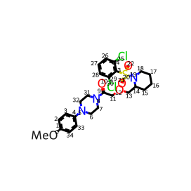 COc1ccc(N2CCN(C(=O)COCC3CCCCN3S(=O)(=O)c3c(Cl)cccc3Cl)CC2)cc1